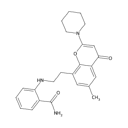 Cc1cc(CCNc2ccccc2C(N)=O)c2oc(N3CCCCC3)cc(=O)c2c1